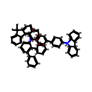 CC1(C)c2ccccc2-c2c(N(c3ccc(-c4ccc(-n5c6ccccc6c6ccccc65)cc4)cc3)c3cccc(-c4ccccc4)c3-c3ccccc3-c3ccccc3)cccc21